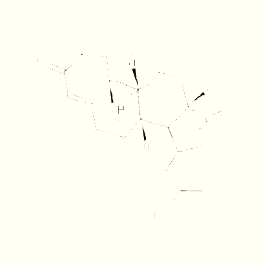 CC(C)CC1CC(=O)[C@@]2(C)CC[C@@H]3[C@@H](CCC4=C(O)C(=O)CC[C@@]43C)[C@H]12